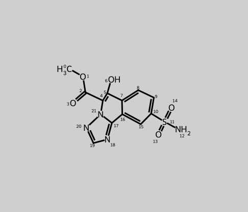 COC(=O)c1c(O)c2ccc(S(N)(=O)=O)cc2c2ncnn12